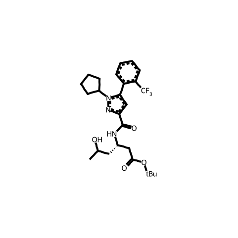 CC(O)C[C@@H](CC(=O)OC(C)(C)C)NC(=O)c1cc(-c2ccccc2C(F)(F)F)n(C2CCCC2)n1